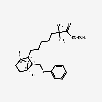 CN(O)C(=O)C(C)(C)CCCCC[C@H]1[C@@H](CSc2ccccc2)[C@H]2CC[C@@H]1O2